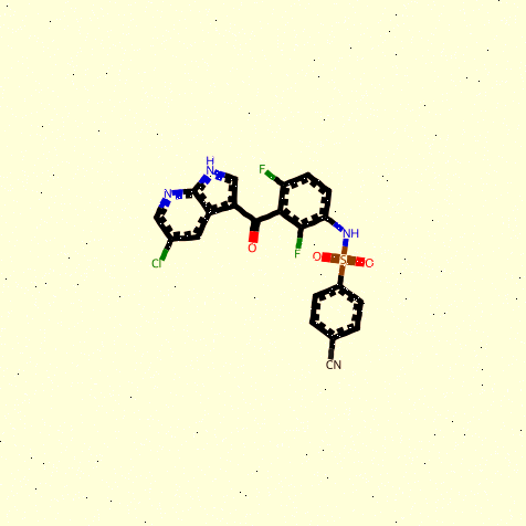 N#Cc1ccc(S(=O)(=O)Nc2ccc(F)c(C(=O)c3c[nH]c4ncc(Cl)cc34)c2F)cc1